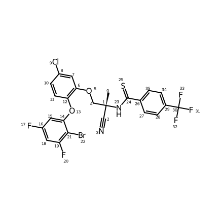 C[C@@](C#N)(COc1cc(Cl)ccc1Oc1cc(F)cc(F)c1Br)NC(=S)c1ccc(C(F)(F)F)cc1